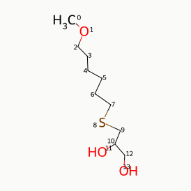 COCCCCCCSCC(O)CO